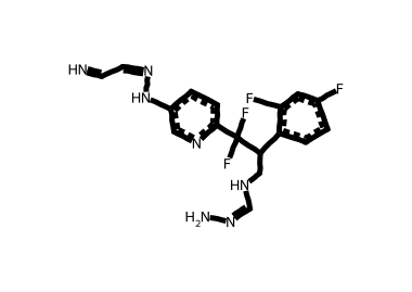 N=C/C=N\Nc1ccc(C(F)(F)C(CN/C=N\N)c2ccc(F)cc2F)nc1